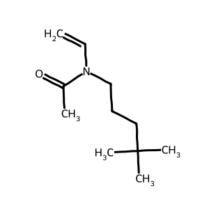 C=CN(CCCC(C)(C)C)C(C)=O